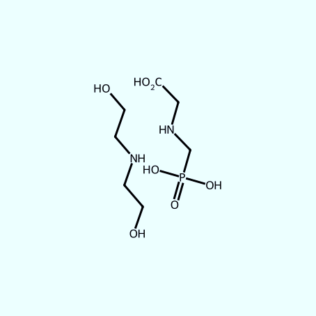 O=C(O)CNCP(=O)(O)O.OCCNCCO